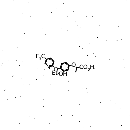 CC(Oc1ccc(Oc2ccc(C(F)(F)F)cn2)cc1)C(=O)O.CCO